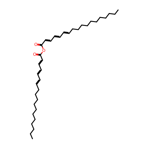 CCCCCCCCCCCC=CC=CC=CC(=O)OC(=O)C=CC=CC=CCCCCCCCCCCC